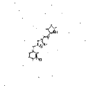 Clc1cccc(Cc2cc(CO[C@H]3CCCN3)no2)c1